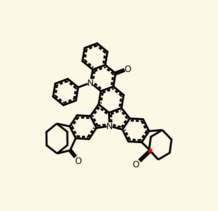 O=C1c2cc3c(cc2C2CCC1CC2)c1cc2c(=O)c4ccccc4n(-c4ccccc4)c2c2c4cc5c(cc4n3c12)C(=O)C1CCC5CC1